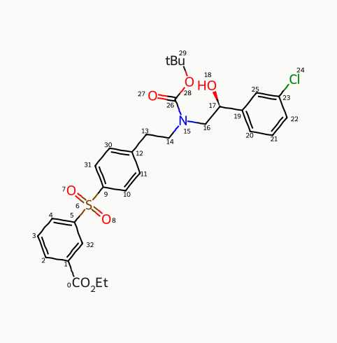 CCOC(=O)c1cccc(S(=O)(=O)c2ccc(CCN(C[C@@H](O)c3cccc(Cl)c3)C(=O)OC(C)(C)C)cc2)c1